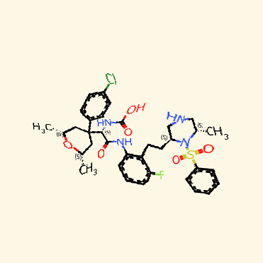 C[C@@H]1CC(c2ccc(Cl)cc2)([C@H](NC(=O)O)C(=O)Nc2cccc(F)c2CC[C@H]2CNC[C@H](C)N2S(=O)(=O)c2ccccc2)C[C@H](C)O1